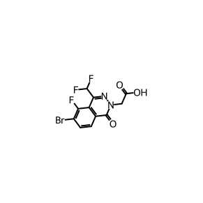 O=C(O)Cn1nc(C(F)F)c2c(F)c(Br)ccc2c1=O